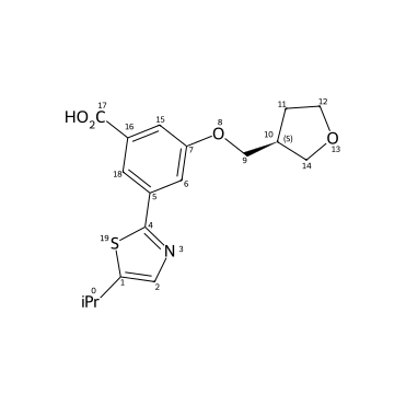 CC(C)c1cnc(-c2cc(OC[C@H]3CCOC3)cc(C(=O)O)c2)s1